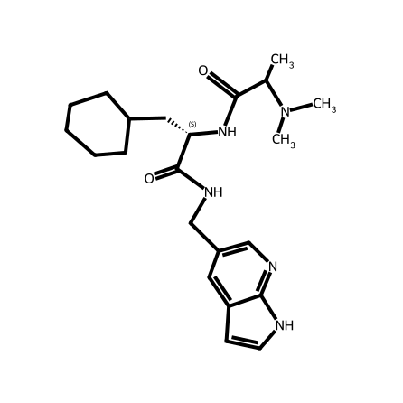 CC(C(=O)N[C@@H](CC1CCCCC1)C(=O)NCc1cnc2[nH]ccc2c1)N(C)C